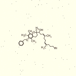 CC(=CCC(O)C1(C)CCc2c(C)c(OCc3ccccc3)c(C)c(C)c2O1)CCC=C(C)CCCC(C)C